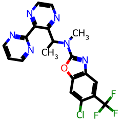 CC(c1nccnc1-c1ncccn1)N(C)c1nc2cc(C(F)(F)F)c(Cl)cc2o1